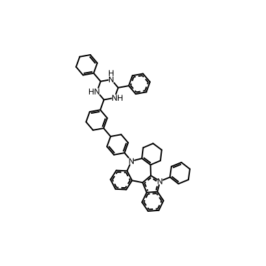 C1=CC(C2NC(C3=CCCC(C4C=CC(N5C6=C(CCCC6)c6c(c7ccccc7n6C6=CCCC=C6)-c6ccccc65)=CC4)=C3)NC(c3ccccc3)N2)=CCC1